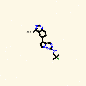 COc1ncnc2ccc(-c3ccn4nc(NCC(C)(C)F)ncc34)cc12